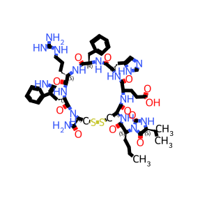 CCCC[C@@H](C(=O)N[C@H]1CSSC[C@@H](C(N)=O)NC(=O)[C@H](Cc2c[nH]c3ccccc23)NC(=O)[C@H](CCCNC(=N)N)NC(=O)[C@@H](Cc2ccccc2)NC(=O)[C@H](Cc2cnc[nH]2)NC(=O)C(CCC(=O)O)NC1=O)N1C(=O)N[C@@H](C(C)C)C1=O